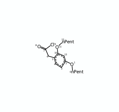 CCCCCOc1ccc(CC(=O)Cl)c(OCCCCC)c1